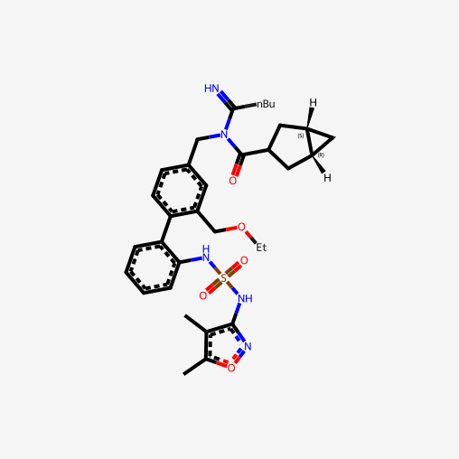 CCCCC(=N)N(Cc1ccc(-c2ccccc2NS(=O)(=O)Nc2noc(C)c2C)c(COCC)c1)C(=O)C1C[C@@H]2C[C@@H]2C1